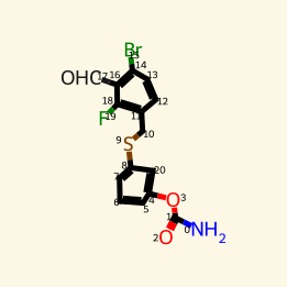 NC(=O)Oc1cccc(SCc2ccc(Br)c(C=O)c2F)c1